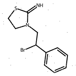 N=C1SCCN1CC(Br)c1ccccc1